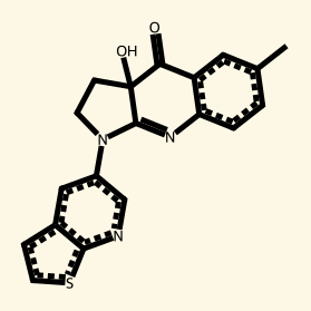 Cc1ccc2c(c1)C(=O)C1(O)CCN(c3cnc4sccc4c3)C1=N2